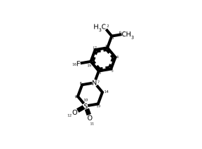 CC(C)c1ccc(N2CCS(=O)(=O)CC2)c(F)c1